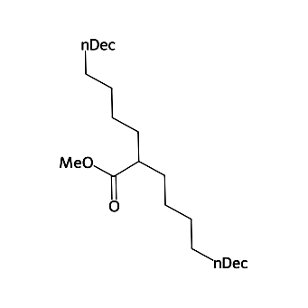 CCCCCCCCCCCCCCC(CCCCCCCCCCCCCC)C(=O)OC